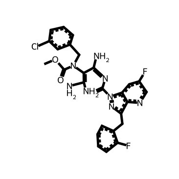 C=C(/N=C(/N)C(=C(N)N)N(Cc1cccc(Cl)c1)C(=O)OC)n1nc(Cc2ccccc2F)c2ncc(F)cc21